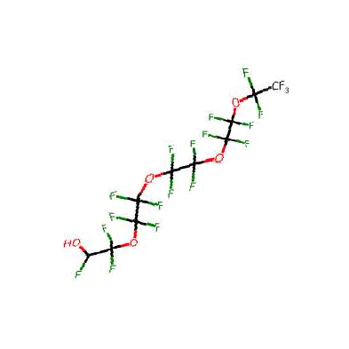 OC(F)C(F)(F)OC(F)(F)C(F)(F)OC(F)(F)C(F)(F)OC(F)(F)C(F)(F)OC(F)(F)C(F)(F)F